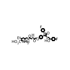 CCC(CC(=O)CNC(=O)CNC(=O)COc1ccc([C@@H]2[C@@H](SCC(O)c3ccc(F)cc3)C(=O)N2c2ccc(F)cc2)cc1)[C@@H](N)C(=O)O